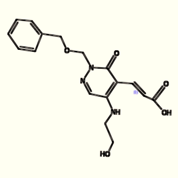 O=C(O)/C=C/c1c(NCCO)cnn(COCc2ccccc2)c1=O